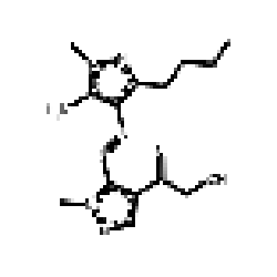 CCCCc1nn(C)c(N)c1N=Nc1c(C(=O)CO)cnn1C